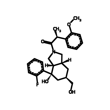 COc1ccccc1[C@H](C)C(=O)N1C[C@@H]2C[C@@H](CO)C[C@@](O)(c3ccccc3F)[C@@H]2C1